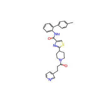 Cc1ccc(-c2ccccc2NC(=O)c2csc(C3CCN(C(=O)CCc4cccnc4)CC3)n2)cc1